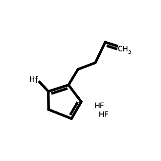 C=CCCC1=[C]([Hf])CC=C1.F.F